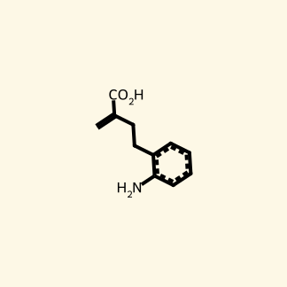 C=C(CCc1ccccc1N)C(=O)O